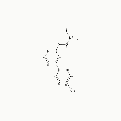 CN(F)OCc1cc(-c2ccc(C(F)(F)F)cn2)ccn1